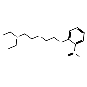 CCN(CC)CCNCCNc1ccccc1[N+](=O)[O-]